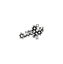 O=c1[nH]c2ccc(C(F)(F)F)cc2c(-c2cc(Cl)ccc2O)c1SCC(O)CCCN1CCCCC1